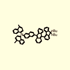 CCCCC1(CCCC)c2ccccc2-c2c(-c3c4ccccc4c(-c4ccc5cc(N(c6ccc(C)c7ccccc67)c6ccc(C)c7ccccc67)ccc5c4)c4ccccc34)cccc21